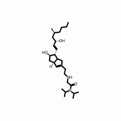 CCCC[C@H](C)C[C@H](O)/C=C/[C@@H]1C2CC(CCNCC(=O)N(C(C)C)C(C)C)=C[C@H]2C[C@H]1O